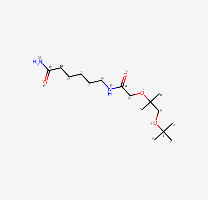 CC(C)(C)OCC(C)(C)OCC(=O)NCCCCCC(N)=O